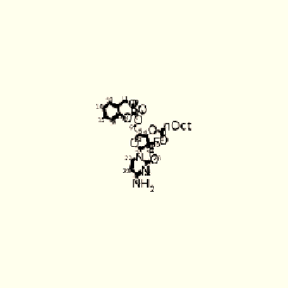 CCCCCCCCC(=O)O[C@@H]1[C@@H](COP2(=O)OCc3ccccc3O2)O[C@@H](n2ccc(N)nc2=O)C1(F)F